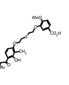 COc1ccc(C(=O)O)cc1OCCSCCOc1ccc(C(=O)CC(C)(C)C)c(O)c1C